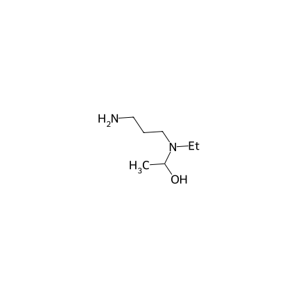 CCN(CCCN)C(C)O